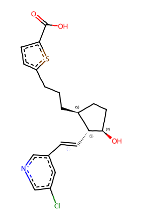 O=C(O)c1ccc(CCC[C@H]2CC[C@@H](O)[C@@H]2/C=C/c2cncc(Cl)c2)s1